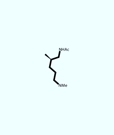 CNCCC[C@@H](C)CNC(C)=O